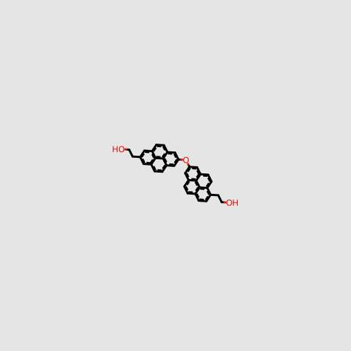 OCCc1cc2ccc3cc(Oc4cc5ccc6ccc(CCO)c7ccc(c4)c5c67)cc4ccc(c1)c2c34